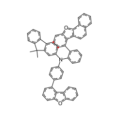 CC1(C)c2ccccc2-c2ccc(N(c3ccc(-c4cccc5oc6ccccc6c45)cc3)c3ccccc3-c3cccc4oc5c6ccccc6ccc5c34)cc21